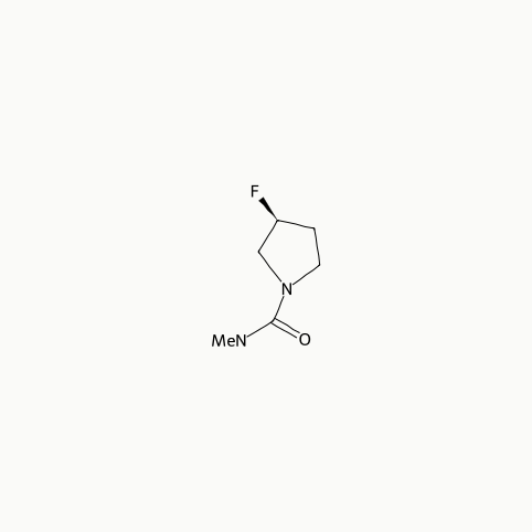 CNC(=O)N1CC[C@H](F)C1